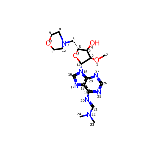 COC1C(O)[C@@H](CN2CCOCC2)O[C@H]1n1cnc2c(/N=C/N(C)C)ncnc21